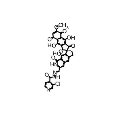 COC1=CC(=O)c2c(O)c3c(c(O)c2C1=O)C(=O)[C@]1(CCc2cc4cc(C=NNC(=O)c5ccncc5Cl)[nH]c(=O)c4c(O)c21)C3=O